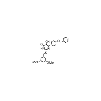 COc1cc(CSc2nc(-c3ccc(OCc4ccccc4)cc3)c(C#N)c(=O)[nH]2)cc(OC)c1